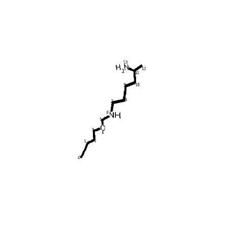 CCCCOCNCCCCC(C)N